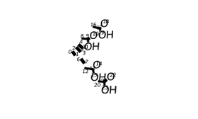 C=C.C=C.C=C.C=C.CC(=O)O.CC(=O)O.CC(=O)O.CC(=O)O